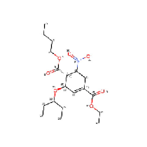 CCCCOC(=O)[C@@H]1C([N+](=O)[O-])CC(C(=O)OCC)=C[C@H]1OC(CC)CC